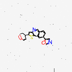 c1ncc(-c2ccc3cnc4cc(C5CCOCC5)sc4c3c2)o1